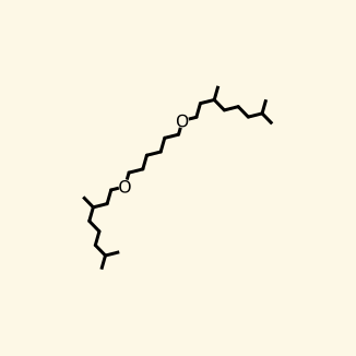 CC(C)CCCC(C)CCOCCCCCCOCCC(C)CCCC(C)C